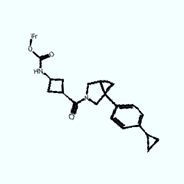 CC(C)OC(=O)N[C@H]1C[C@@H](C(=O)N2CC3CC3(c3ccc(C4CC4)cc3)C2)C1